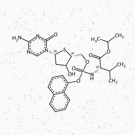 CC(C)OC(=O)[C@@H](NP(=O)(OC[C@H]1S[C@@H](n2cnc(N)nc2=O)CC1O)Oc1cccc2ccccc12)C(C)C